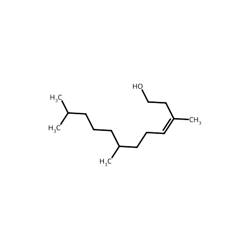 CC(=CCCC(C)CCCC(C)C)CCO